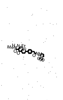 CCn1c(N)c(C(=O)NC)c(=O)c2ccc(-c3ccc(CC(=O)NC[C@H]4CCCN4S(C)(=O)=O)cc3)nc21